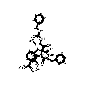 CNC(=O)[C@@](Cc1ccccc1)(C(=O)[C@H](CC(C)C)NC(=O)OCc1ccccc1)N(C(=O)OCc1ccccc1)C(=O)C(CC(=O)OC)SC(C)=O